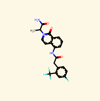 CC(C(N)=O)n1ccc2c(NC(=O)Cc3ccc(F)cc3C(F)(F)F)cccc2c1=O